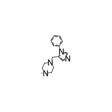 c1ccc(-n2cncc2CN2CC[N]CC2)cc1